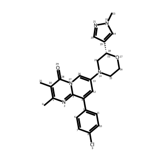 Cc1nc2c(-c3ccc(Cl)cc3)cc(N3CCO[C@@H](c4cnn(C)c4)C3)cn2c(=O)c1C